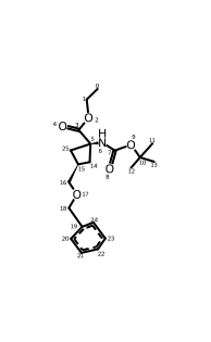 CCOC(=O)[C@]1(NC(=O)OC(C)(C)C)C[C@@H](COCc2ccccc2)C1